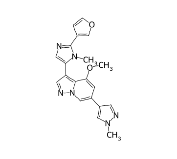 COc1cc(-c2cnn(C)c2)cn2ncc(-c3cnc(-c4ccoc4)n3C)c12